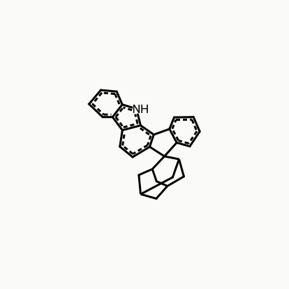 c1ccc2c(c1)-c1c(ccc3c1[nH]c1ccccc13)C21C2CC3CC(C2)CC1C3